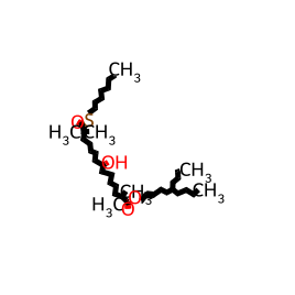 CCCCCCCCCSC(=O)C(C)(C)CCCCCC(O)CCCCCC(C)(C)C(=O)OCC#CCCC(CCCC)CCCC